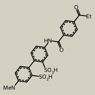 CCC(=O)c1ccc(C(=O)Nc2ccc(-c3ccc(NC)cc3S(=O)(=O)O)c(S(=O)(=O)O)c2)cc1